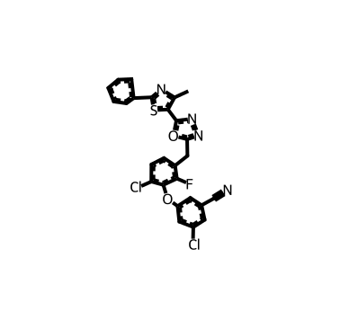 Cc1nc(-c2ccccc2)sc1-c1nnc(Cc2ccc(Cl)c(Oc3cc(Cl)cc(C#N)c3)c2F)o1